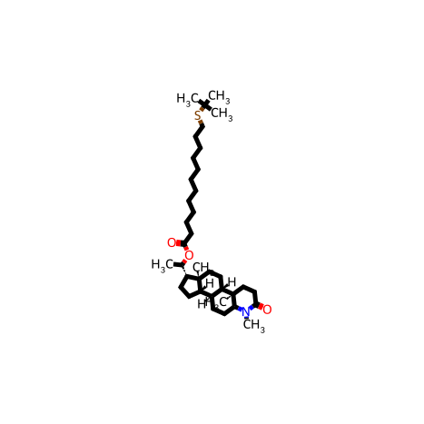 CC(OC(=O)CCCCCCCCCCCSC(C)(C)C)[C@H]1CC[C@H]2[C@@H]3CCC4N(C)C(=O)CC[C@]4(C)[C@H]3CC[C@]12C